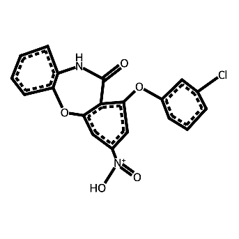 O=C1Nc2ccccc2Oc2cc([N+](=O)O)cc(Oc3cccc(Cl)c3)c21